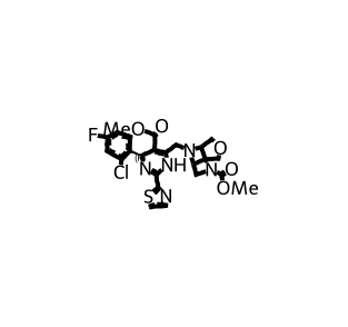 COC(=O)C1=C(CN2C3COCC34C2CN4C(=O)OC)NC(c2nccs2)=N[C@H]1c1ccc(F)cc1Cl